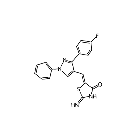 N=C1NC(=O)/C(=C/c2cn(-c3ccccc3)nc2-c2ccc(F)cc2)S1